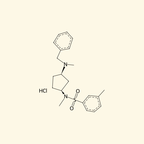 Cc1cccc(S(=O)(=O)N(C)[C@H]2CC[C@@H](N(C)Cc3ccccc3)C2)c1.Cl